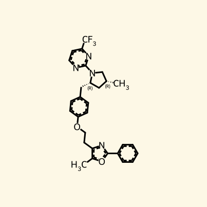 Cc1oc(-c2ccccc2)nc1CCOc1ccc(C[C@H]2C[C@@H](C)CN2c2nccc(C(F)(F)F)n2)cc1